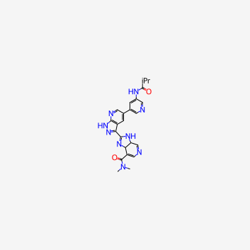 CC(C)C(=O)Nc1cncc(-c2cnc3[nH]nc(C4=NC5C(C(=O)N(C)C)=CN=CC5N4)c3c2)c1